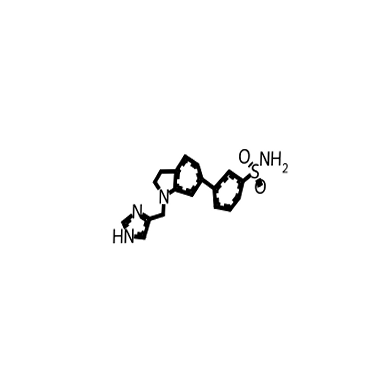 NS(=O)(=O)c1cccc(-c2ccc3c(c2)N(Cc2c[nH]cn2)CC3)c1